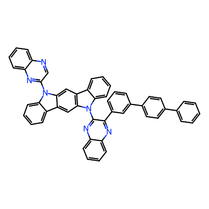 c1ccc(-c2ccc(-c3cccc(-c4nc5ccccc5nc4-n4c5ccccc5c5cc6c(cc54)c4ccccc4n6-c4cnc5ccccc5n4)c3)cc2)cc1